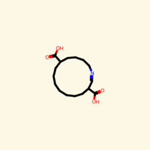 O=C(O)C1C=NCCCCC(C(=O)O)CCCCCCC1